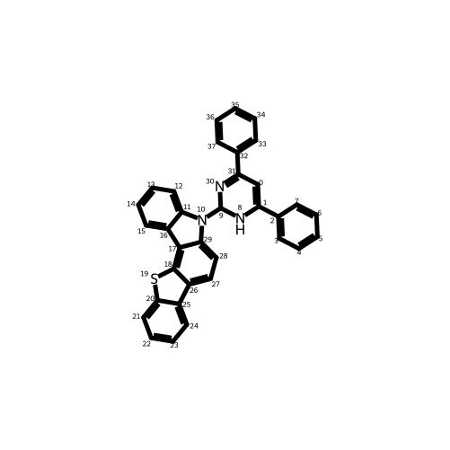 C1=C(c2ccccc2)NC(n2c3ccccc3c3c4sc5ccccc5c4ccc32)N=C1c1ccccc1